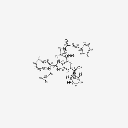 COc1cc(C(=O)N2C[C@H]3CC[C@@H]2[C@@H]3N)cc2nc(-c3cc4cccnc4n3CC3CC3)n(CC3CN(C(=O)C#Cc4ccccc4)C3)c12